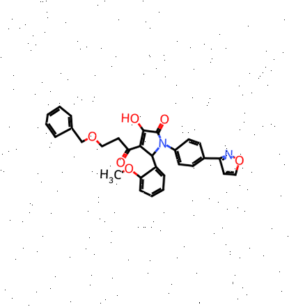 COc1ccccc1C1C(C(=O)CCOCc2ccccc2)=C(O)C(=O)N1c1ccc(-c2ccon2)cc1